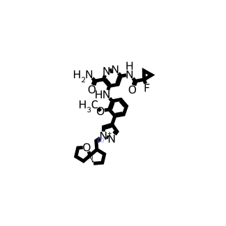 COc1c(Nc2cc(NC(=O)C3(F)CC3)nnc2C(N)=O)cccc1C1=C/[N+](=C/C2CCC[C@@]23CCCO3)N=C1